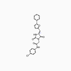 O=C(CN1C(=O)N/C(=C\c2ccc(-c3ccccc3)o2)C1=O)Nc1ccc(Cl)cc1